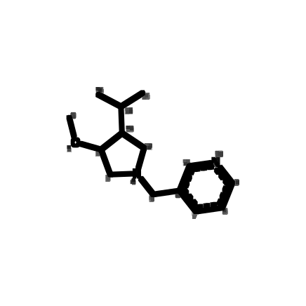 COC1CN(Cc2cccnc2)CC1C(C)C